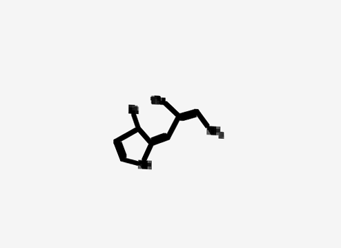 CCC1C=CN/C1=C/C(=C\N)C(C)(C)C